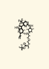 CN(CCOCCN[C@H]1CC[C@H](Nc2ncc(C(F)(F)F)c(-c3c[nH]c4nc(C#N)ccc34)n2)C1)C(=O)OC(C)(C)C